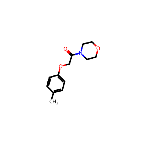 Cc1ccc(OCC(=O)N2CCOCC2)cc1